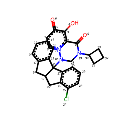 O=C1c2c(O)c(=O)ccn2N(C23c4ccccc4CC2Cc2c(Cl)cccc23)CN1C1CCC1